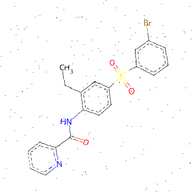 CCc1cc(S(=O)(=O)c2cccc(Br)c2)ccc1NC(=O)c1ccccn1